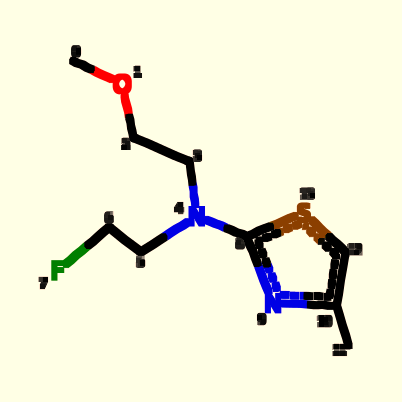 COCCN(CCF)c1nc(C)cs1